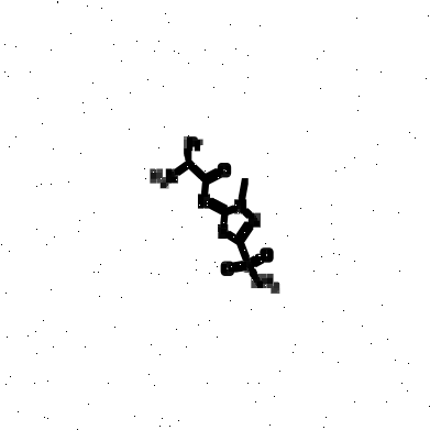 CC(C)[C@H](N)C(=O)N=c1sc(S(N)(=O)=O)nn1C